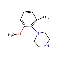 COc1cccc(C)c1N1CCNCC1